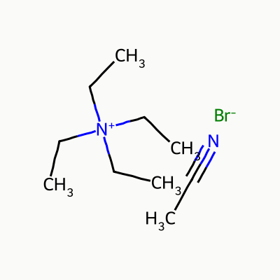 CC#N.CC[N+](CC)(CC)CC.[Br-]